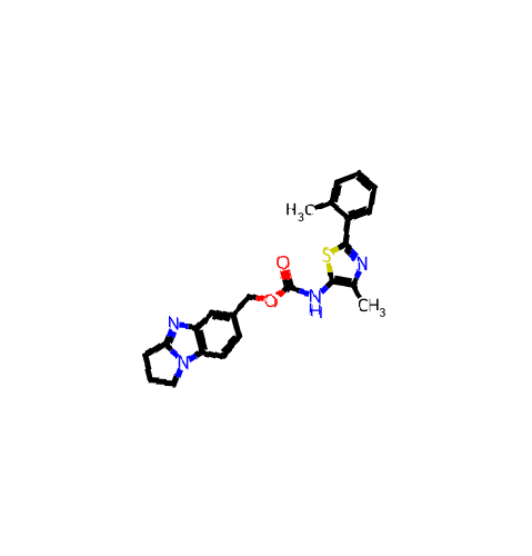 Cc1ccccc1-c1nc(C)c(NC(=O)OCc2ccc3c(c2)nc2n3CCC2)s1